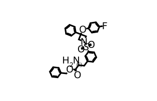 N[C@@H](Cc1cccc(S(=O)(=O)N2CC(Oc3ccc(F)cc3)(c3ccccc3)C2)c1)C(=O)OCc1ccccc1